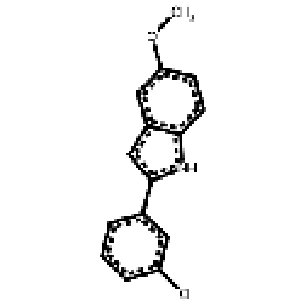 COc1ccc2[nH]c(-c3cccc(Cl)c3)cc2c1